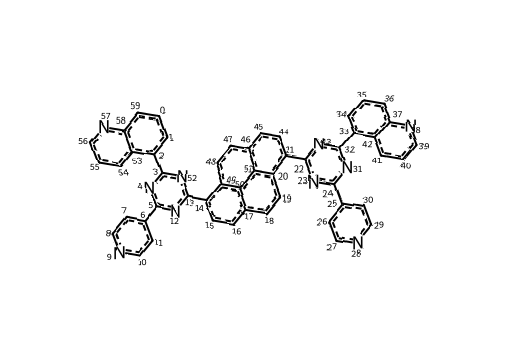 c1cc(-c2nc(-c3ccncc3)nc(-c3ccc4ccc5c(-c6nc(-c7ccncc7)nc(-c7cccc8ncccc78)n6)ccc6ccc3c4c65)n2)c2cccnc2c1